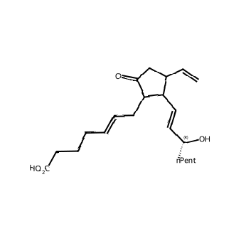 C=CC1CC(=O)C(CC=CCCCC(=O)O)C1C=C[C@H](O)CCCCC